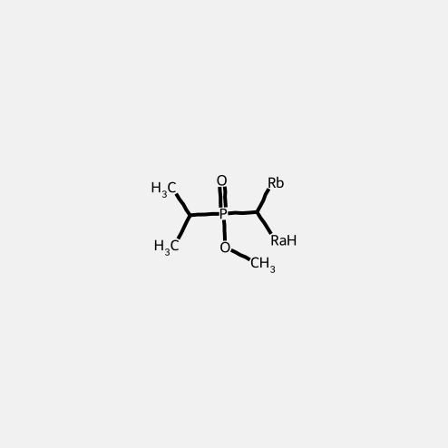 COP(=O)(C(C)C)[CH]([Rb])[RaH]